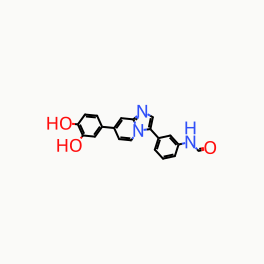 O=CNc1cccc(-c2cnc3cc(-c4ccc(O)c(O)c4)ccn23)c1